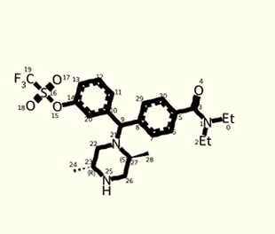 CCN(CC)C(=O)c1ccc(C(c2cccc(OS(=O)(=O)C(F)(F)F)c2)N2C[C@@H](C)NC[C@@H]2C)cc1